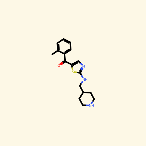 Cc1ccccc1C(=O)c1cnc(NCC2CCNCC2)s1